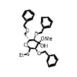 CCSC1O[C@H](COCc2ccccc2)[C@@H](OCc2ccccc2)[C@@](O)(OC)[C@H]1OCc1ccccc1